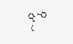 CC(C)CCOC(=O)c1ccccc1OC(=O)c1ccccc1O